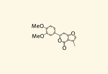 COc1ccc(-c2cc3occ(C)c3c(=O)o2)cc1OC